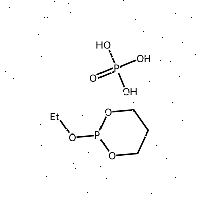 CCOP1OCCCO1.O=P(O)(O)O